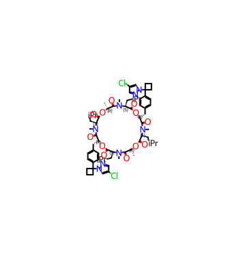 CC(C)C[C@H]1C(=O)O[C@H](Cc2ccc(C3(n4cc(Cl)cn4)CCC3)cc2)C(=O)N(C)[C@@H](CC(C)C)C(=O)O[C@H](C)C(=O)N(C)[C@@H](CC(C)C)C(=O)O[C@H](Cc2ccc(C3(n4cc(Cl)cn4)CCC3)cc2)C(=O)N(C)[C@@H](CC(C)C)C(=O)O[C@H](C)C(=O)N1C